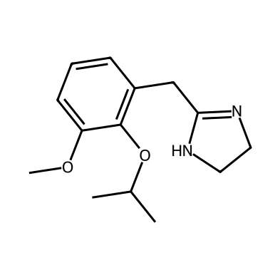 COc1cccc(CC2=NCCN2)c1OC(C)C